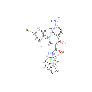 CNc1ccc2c(=O)c(C(=O)NC3(C)CC4CC5C4CC(C3)C5(F)F)cn(-c3ccc(F)cc3F)c2n1